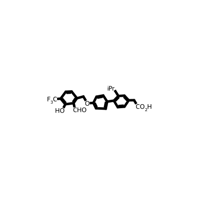 CC(C)c1cc(CC(=O)O)ccc1-c1ccc(OCc2ccc(C(F)(F)F)c(O)c2C=O)cc1